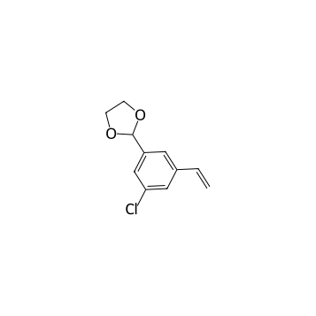 C=Cc1cc(Cl)cc(C2OCCO2)c1